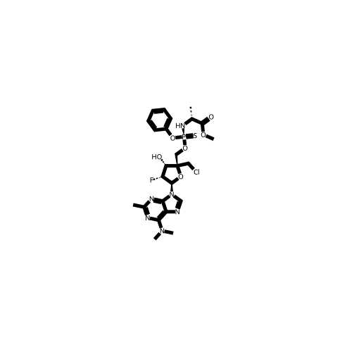 COC(=O)[C@@H](C)N[P@@](=S)(OC[C@@]1(CCl)O[C@@H](n2cnc3c(N(C)C)nc(C)nc32)[C@H](F)[C@@H]1O)Oc1ccccc1